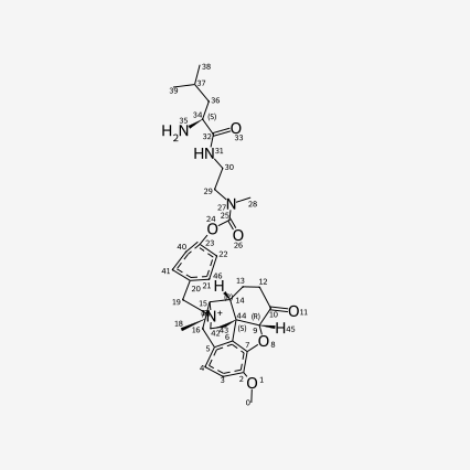 COc1ccc2c3c1O[C@H]1C(=O)CC[C@H]4C(C2)[N@@+](C)(Cc2ccc(OC(=O)N(C)CCNC(=O)[C@@H](N)CC(C)C)cc2)CC[C@]314